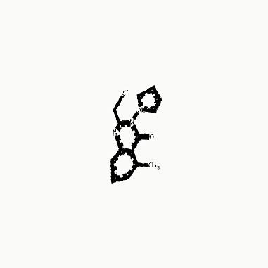 Cc1cccc2nc(CCl)n(-n3cccc3)c(=O)c12